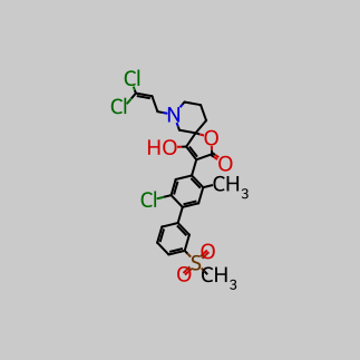 Cc1cc(-c2cccc(S(C)(=O)=O)c2)c(Cl)cc1C1=C(O)C2(CCCN(CC=C(Cl)Cl)C2)OC1=O